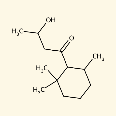 CC(O)CC(=O)C1C(C)CCCC1(C)C